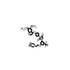 COc1cc2nccc(Oc3ccc(N4C(=O)CN(c5cc(OCCN6CCS(=O)(=O)CC6)cc(C(F)(F)F)c5)C4=O)cc3)c2cc1OC